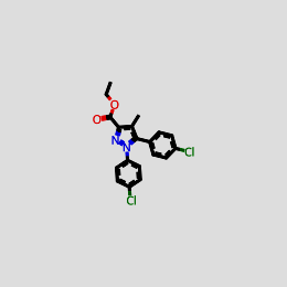 CCOC(=O)c1nn(-c2ccc(Cl)cc2)c(-c2ccc(Cl)cc2)c1C